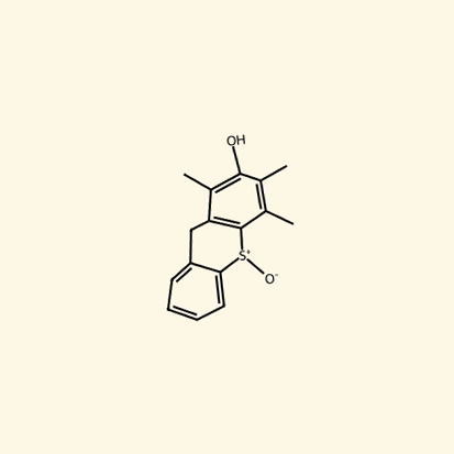 Cc1c(C)c2c(c(C)c1O)Cc1ccccc1[S+]2[O-]